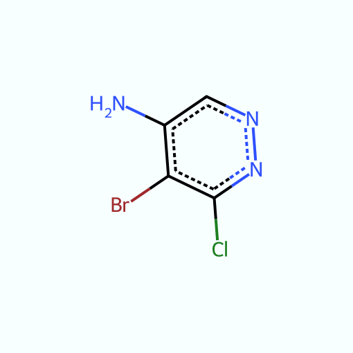 Nc1cnnc(Cl)c1Br